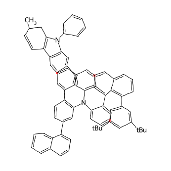 CC1C=Cc2c(n(-c3ccccc3)c3cc(-c4cccc(N(c5cc(-c6cccc7ccccc67)ccc5-c5ccccc5)c5ccccc5-c5cccc6cccc(-c7cc(C(C)(C)C)cc(C(C)(C)C)c7)c56)c4)ccc23)C1